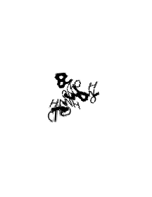 CC(=O)Nc1ccc(CCC(=O)NNC(=O)CCl)c(C(=O)NC(C)c2cccc3ccccc23)c1